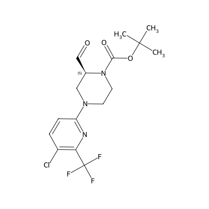 CC(C)(C)OC(=O)N1CCN(c2ccc(Cl)c(C(F)(F)F)n2)C[C@H]1C=O